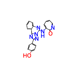 O=c1nccccc1Nc1nc2ccccc2c2nc(-c3ccc(O)cc3)nn12